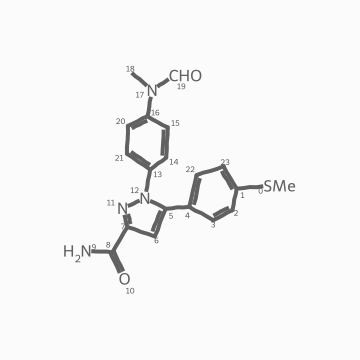 CSc1ccc(-c2cc(C(N)=O)nn2-c2ccc(N(C)C=O)cc2)cc1